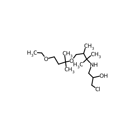 CCOCCC(C)(C)OCC(C)C(C)(C)NCC(O)CCl